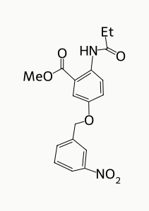 CCC(=O)Nc1ccc(OCc2cccc([N+](=O)[O-])c2)cc1C(=O)OC